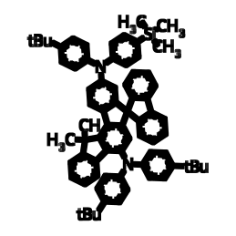 CC(C)(C)c1ccc(N(c2ccc([Si](C)(C)C)cc2)c2ccc3c(c2)C2(c4ccccc4-c4ccccc42)c2cc(N(c4ccc(C(C)(C)C)cc4)c4ccc(C(C)(C)C)cc4)c4c(c2-3)C(C)(C)c2ccccc2-4)cc1